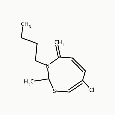 C=C1/C=C\C(Cl)=C/SC(C)N1CCCC